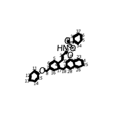 O=C(/C=C/c1ccc(COc2ccccc2)cc1Cc1ccc2ccccc2c1)NS(=O)(=O)c1ccccc1